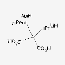 CCCCCC(C(=O)O)(C(=O)O)C(C)C.[LiH].[NaH]